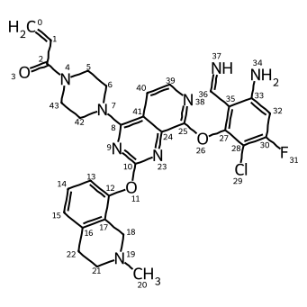 C=CC(=O)N1CCN(c2nc(Oc3cccc4c3CN(C)CC4)nc3c(Oc4c(Cl)c(F)cc(N)c4C=N)nccc23)CC1